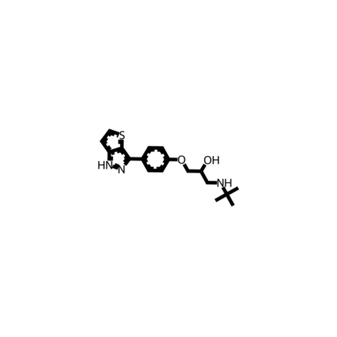 CC(C)(C)NCC(O)COc1ccc(-c2n[nH]c3ccsc23)cc1